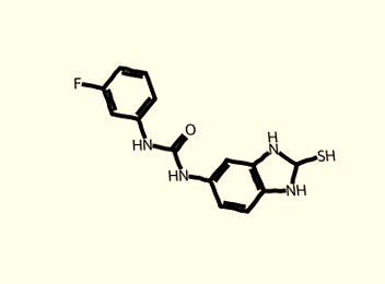 O=C(Nc1cccc(F)c1)Nc1ccc2c(c1)NC(S)N2